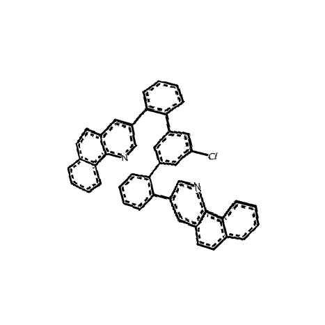 Clc1cc(-c2ccccc2-c2cnc3c(ccc4ccccc43)c2)cc(-c2ccccc2-c2cnc3c(ccc4ccccc43)c2)c1